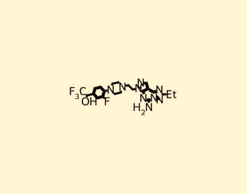 CCc1nc2c3cnn(CCN4CCN(c5ccc(C(O)C(F)(F)F)cc5F)CC4)c3nc(N)n2n1